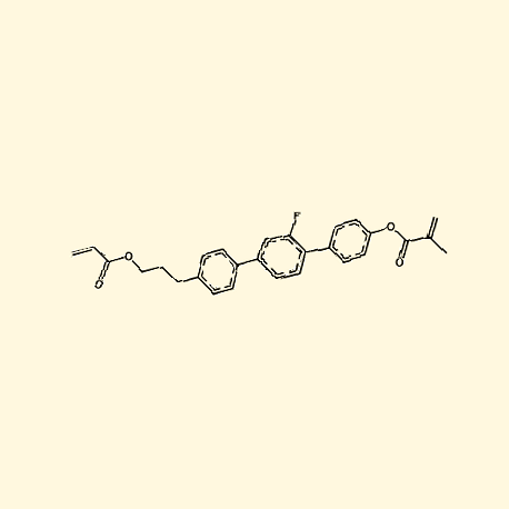 C=CC(=O)OCCCc1ccc(-c2ccc(-c3ccc(OC(=O)C(=C)C)cc3)c(F)c2)cc1